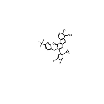 O=c1c2c(nc(-c3cc(F)c(F)cc3C3CC3)n1Cc1cnc(C(F)(F)F)nc1)sc1c(O)c(Cl)ccc12